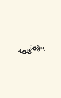 CC(C)Cc1ccc(-c2ccnc(Nc3ccc(S(N)(=O)=O)cc3)n2)cc1